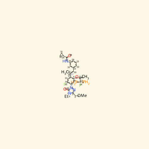 CCn1c(COC)nn(-c2cc(O[C@@H](C)C(F)(P)P)c(/C(C)=C/c3cccc(NC(=O)C4CC4)c3)cc2F)c1=O